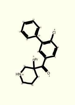 CCCC1(C(=O)c2ccc(Cl)c(-c3ccccc3)c2)CCCNC1